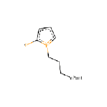 CCCCCCCCp1cccc1[P]